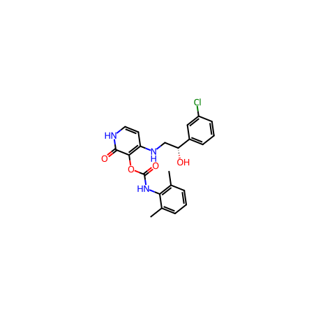 Cc1cccc(C)c1NC(=O)Oc1c(NC[C@@H](O)c2cccc(Cl)c2)cc[nH]c1=O